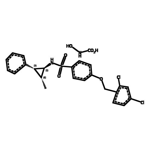 C[C@H]1[C@H](NS(=O)(=O)c2ccc(OCc3ccc(Cl)cc3Cl)cc2)[C@H]1c1ccccc1.O=C(O)NO